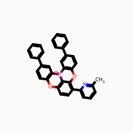 Cc1cccc(-c2ccc3c4c2Oc2ccc(-c5ccccc5)cc2P4(=O)c2cc(-c4ccccc4)ccc2O3)n1